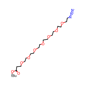 CC(C)(C)OC(=O)CCOCCOCCOCCOCCOCCOCCOCCN=[N+]=[N-]